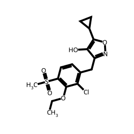 CCOc1c(S(C)(=O)=O)ccc(Cc2noc(C3CC3)c2O)c1Cl